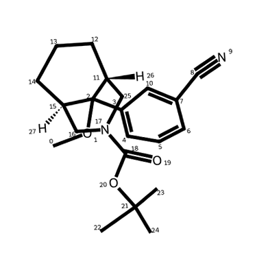 COC1(c2cccc(C#N)c2)[C@@H]2CCC[C@@H]1CN(C(=O)OC(C)(C)C)C2